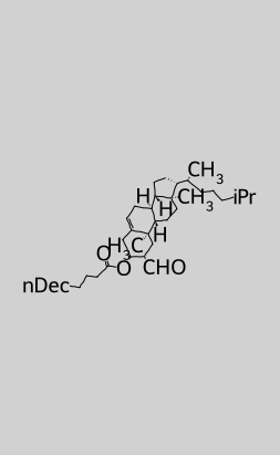 CCCCCCCCCCCCCC(=O)O[C@@H]1CC2=CC[C@H]3[C@@H]4CC[C@H]([C@H](C)CCCC(C)C)[C@@]4(C)CC[C@@H]3[C@@]2(C)CC1C=O